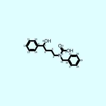 O=C(O)N(CCCC(O)c1ccccc1)Cc1ccccc1